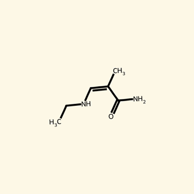 CCNC=C(C)C(N)=O